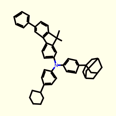 CC1(C)c2ccc(-c3ccccc3)cc2-c2ccc(N(c3ccc(C4CCCCC4)cc3)c3ccc(C45CC6CC(CC(C6)C4)C5)cc3)cc21